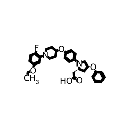 CCOc1ccc(F)c(N2CCC(Oc3ccc(N4C[C@H](Oc5ccccc5)C[C@@H]4CC(=O)O)cc3)CC2)c1